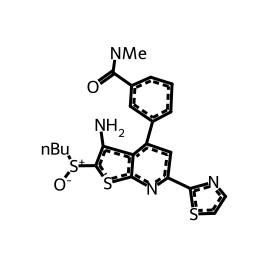 CCCC[S+]([O-])c1sc2nc(-c3nccs3)cc(-c3cccc(C(=O)NC)c3)c2c1N